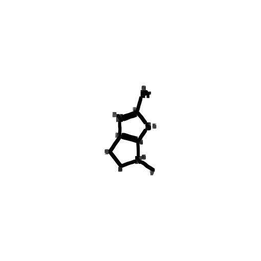 CC(C)c1nc2c(s1)N(C)CC2